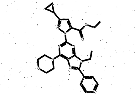 CCOC(=O)c1cc(C2CC2)nn1-c1nc(N2CCOCC2)c2nc(-c3cc[n+](C)cc3)n(CC)c2n1